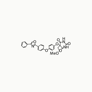 COCCC1(Oc2ccc(Oc3ccc(-c4nc(-c5ccccc5)co4)cc3)cc2)C(=O)NC(=O)NC1=O